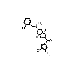 Cc1nn(C(=O)N2C[C@H]3C[C@H](N(C)Cc4ccccc4Cl)C[C@H]3C2)cc1Cl